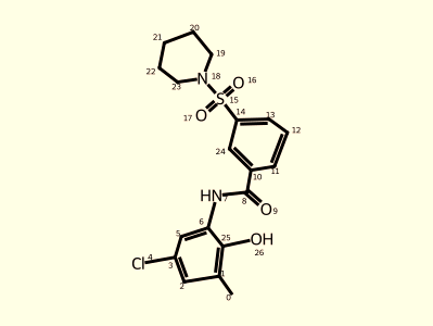 Cc1cc(Cl)cc(NC(=O)c2cccc(S(=O)(=O)N3CCCCC3)c2)c1O